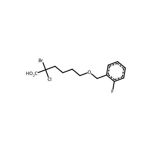 O=C(O)C(Cl)(Br)CCCCOCc1ccccc1F